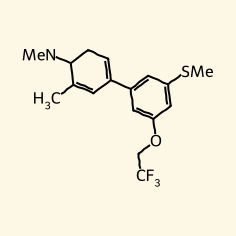 CNC1CC=C(c2cc(OCC(F)(F)F)cc(SC)c2)C=C1C